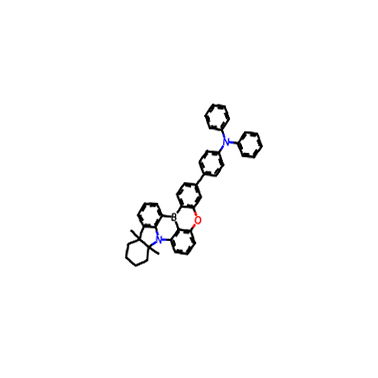 CC12CCCCC1(C)N1c3cccc4c3B(c3ccc(-c5ccc(N(c6ccccc6)c6ccccc6)cc5)cc3O4)c3cccc2c31